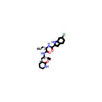 C#C[C@H](C[C@@H]1CCCNC1=O)NC(=O)[C@H](CC(C)(C)C)NC(=O)c1cc2ccc(Cl)cc2[nH]1